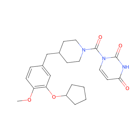 COc1ccc(CC2CCN(C(=O)n3ccc(=O)[nH]c3=O)CC2)cc1OC1CCCC1